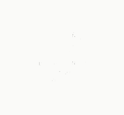 CC(C)(C)OC(=O)ON1CCC(N)C1